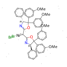 COc1cccc(C2(c3cccc(OC)c3)OC(CC3=N[C@H](c4ccccc4)C(c4cccc(OC)c4)(c4cccc(OC)c4)O3)=N[C@@H]2c2ccccc2)c1.[Br-].[Br-].[Ni+2]